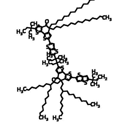 C=CC(C)(C)c1cc2sc(-c3cc4c(s3)-c3sc(C(C)(CC)C(C)(CC)c5cc6sc(-c7cc8c(s7)-c7sc(C(C)(C)CC)cc7C(=O)C8(CCCCCCCCCCCCCCC)CCCCCCCCCCCCCCC)cc6s5)cc3C(=O)C4(CCC(CCCCCCC)CCCCCCCCC)CCC(CCCCCCC)CCCCCCCCC)cc2s1